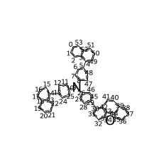 c1ccc2c(-c3ccc(N(c4ccc(-c5cccc6ccccc56)cc4)c4ccc(-c5ccc6oc7cccc8ccc5c6c87)cc4)cc3)cccc2c1